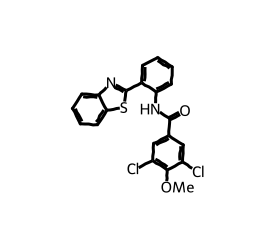 COc1c(Cl)cc(C(=O)Nc2ccccc2-c2nc3ccccc3s2)cc1Cl